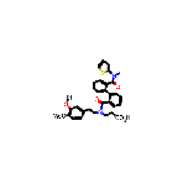 CCOc1cc(CCN(CCC(=O)O)C(=O)c2ccccc2-c2ccccc2C(=O)N(C)c2cccs2)ccc1OC